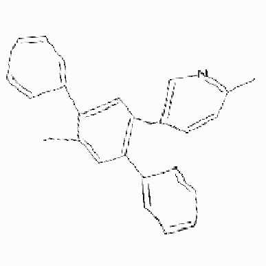 Cc1ccc(-c2cc(-c3ccccc3)c(C)cc2-c2ccccc2)cn1